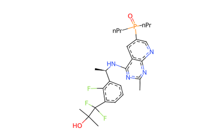 CCCP(=O)(CCC)c1cnc2nc(C)nc(N[C@H](C)c3cccc(C(F)(F)C(C)(C)O)c3F)c2c1